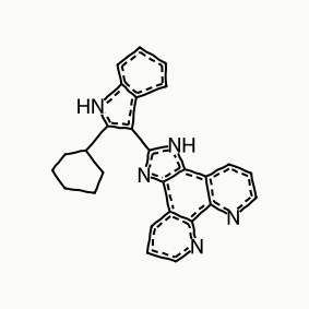 c1ccc2c(-c3nc4c5cccnc5c5ncccc5c4[nH]3)c(C3CCCCC3)[nH]c2c1